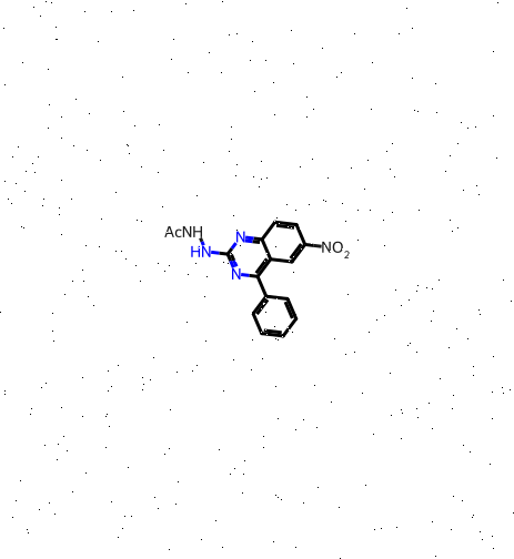 CC(=O)NNc1nc(-c2ccccc2)c2cc([N+](=O)[O-])ccc2n1